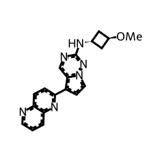 CO[C@H]1C[C@H](Nc2ncc3c(-c4ccc5ncccc5n4)ccn3n2)C1